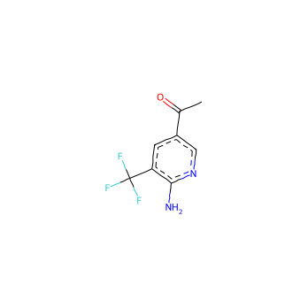 CC(=O)c1cnc(N)c(C(F)(F)F)c1